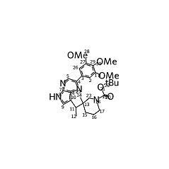 COc1cc(-c2cnc3[nH]cc(C(C)C4(C)CCCN(C(=O)OC(C)(C)C)C4)c3n2)cc(OC)c1OC